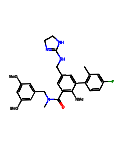 CNc1c(C(=O)N(C)Cc2cc(OC)cc(OC)c2)cc(CNC2=NCCN2)cc1-c1ccc(F)cc1C